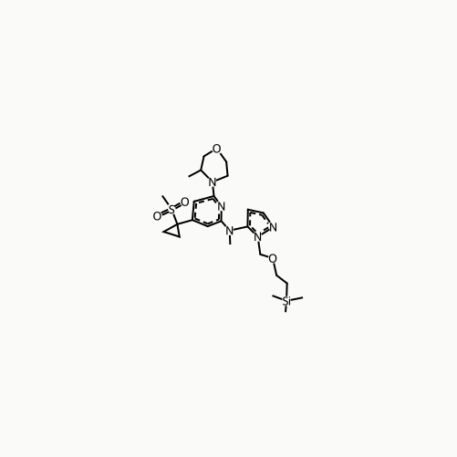 CC1COCCN1c1cc(C2(S(C)(=O)=O)CC2)cc(N(C)c2ccnn2COCC[Si](C)(C)C)n1